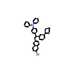 Brc1ccc2cc(C=C(c3ccc(N(c4ccccc4)c4ccccc4)cc3)c3cccc(-c4ccccc4)c3)ccc2c1